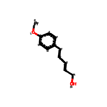 CC(C)Oc1ccc(C=CC=CCO)cc1